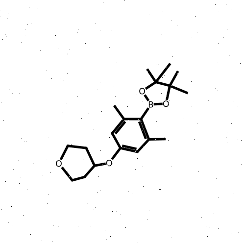 Cc1cc(OC2CCOCC2)cc(C)c1B1OC(C)(C)C(C)(C)O1